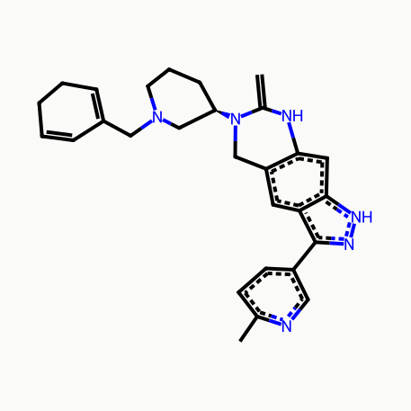 C=C1Nc2cc3[nH]nc(-c4ccc(C)nc4)c3cc2CN1[C@@H]1CCCN(CC2=CCCC=C2)C1